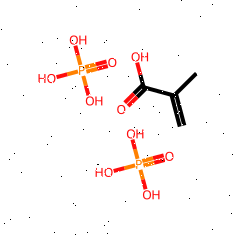 C=C(C)C(=O)O.O=P(O)(O)O.O=P(O)(O)O